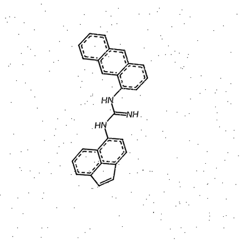 N=C(Nc1cccc2cc3ccccc3cc12)Nc1ccc2c3c(cccc13)C=C2